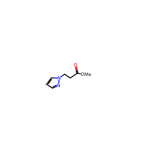 COC(=O)CCn1c[c]cn1